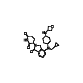 O=C1CCC(N2Cc3c(cccc3N(CC3CC3)C3CCC(NC4COC4)CC3)C2=O)C(=O)N1